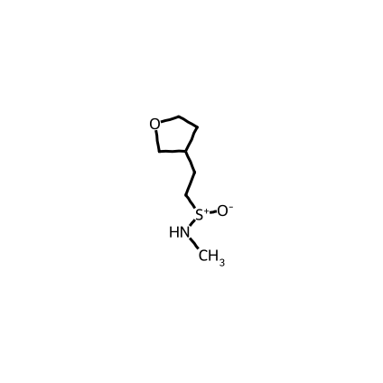 CN[S+]([O-])CCC1CCOC1